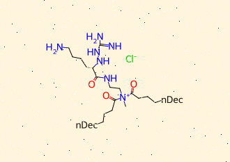 CCCCCCCCCCCCCC(=O)[N+](C)(CCNC(=O)[C@H](CCCCN)NNC(=N)N)C(=O)CCCCCCCCCCCCC.[Cl-]